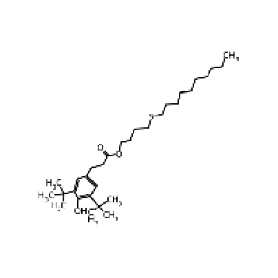 CCCCCCCCCCSCCCCOC(=O)CCc1cc(C(C)(C)C)c(O)c(C(C)(C)C)c1